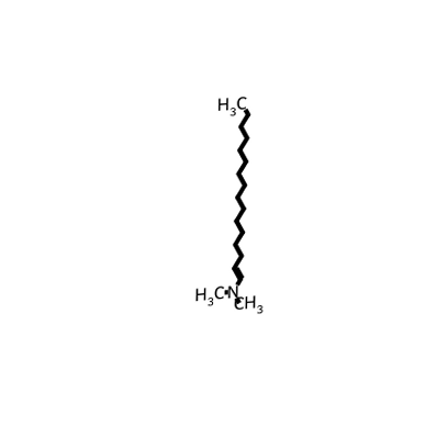 CCCCCCCCCCCCCCC=CN(C)C